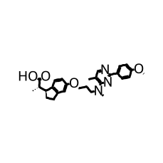 COc1ccc(-c2ncc(C)c(N(C)CCCOc3ccc4c(c3)CC[C@H]4[C@H](C)C(=O)O)n2)cc1